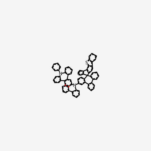 c1ccc(-c2ccccc2N(c2ccc3c(c2)-c2ccccc2N(c2ccccc2)c2ccccc2-3)c2ccc3c(c2)-c2ccccc2-c2ccccc2C32c3ccccc3-c3c2ccc2c3sc3ccccc32)cc1